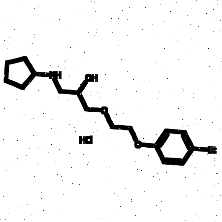 CCc1ccc(OCCOCC(O)CNC2CCCC2)cc1.Cl